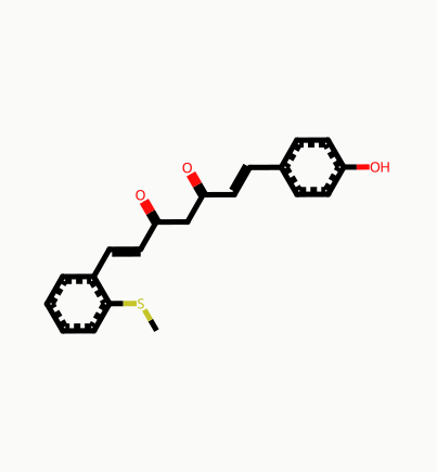 CSc1ccccc1C=CC(=O)CC(=O)C=Cc1ccc(O)cc1